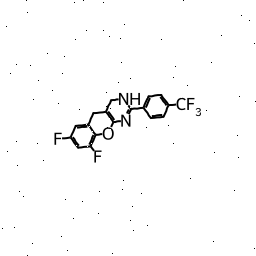 Fc1cc(F)c2c(c1)CC1=C(N=C(c3ccc(C(F)(F)F)cc3)NC1)O2